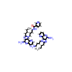 CCCCc1nc2c(N)nc3cccnc3c2n1CCCCN.CCCCc1nc2c(N)nc3cccnc3c2n1CCCCNC(=O)c1cccnc1